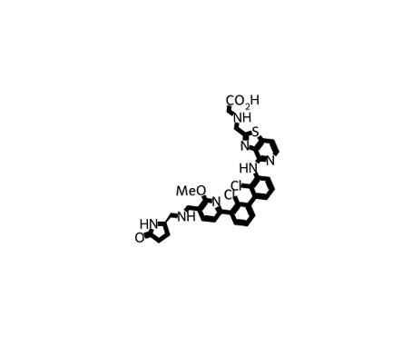 COc1nc(-c2cccc(-c3cccc(Nc4nccc5sc(CNCC(=O)O)nc45)c3Cl)c2Cl)ccc1CNC[C@H]1CCC(=O)N1